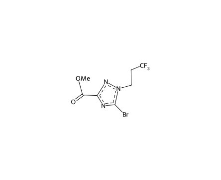 COC(=O)c1nc(Br)n(CCC(F)(F)F)n1